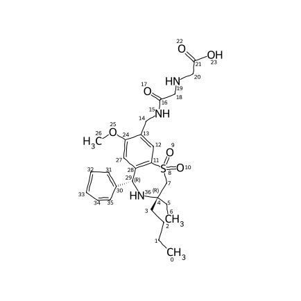 CCCC[C@]1(CC)CS(=O)(=O)c2cc(CNC(=O)CNCC(=O)O)c(OC)cc2[C@@H](c2ccccc2)N1